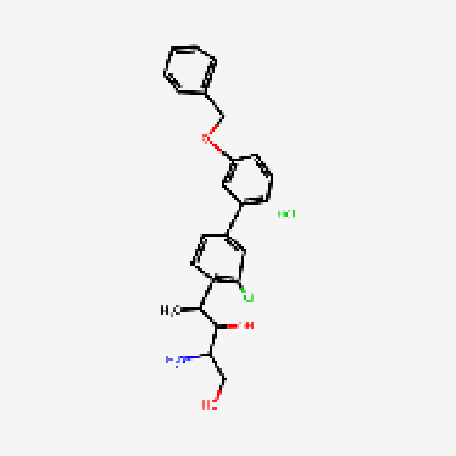 CC(c1ccc(-c2cccc(OCc3ccccc3)c2)cc1Cl)C(O)C(N)CO.Cl